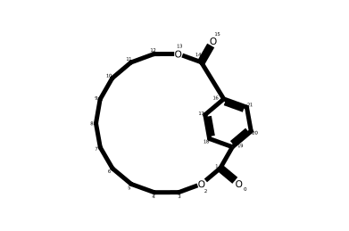 O=C1OCCCCCCCCCCOC(=O)c2ccc1cc2